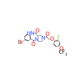 O=C1Nc2ccc(Br)cc2C(=O)N2CCN(C(=O)COc3ccc(OC(F)(F)F)cc3F)CC12